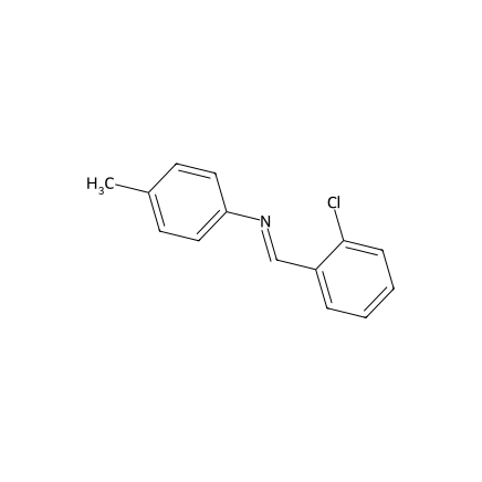 Cc1ccc(N=Cc2ccccc2Cl)cc1